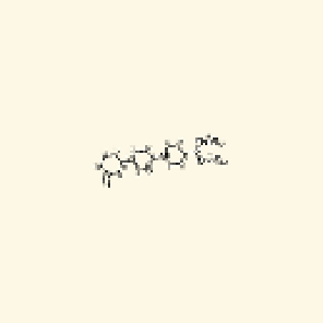 CCCCOC(OCCCC)C1CCN(c2ccc(C3CCCNC3)cn2)CC1